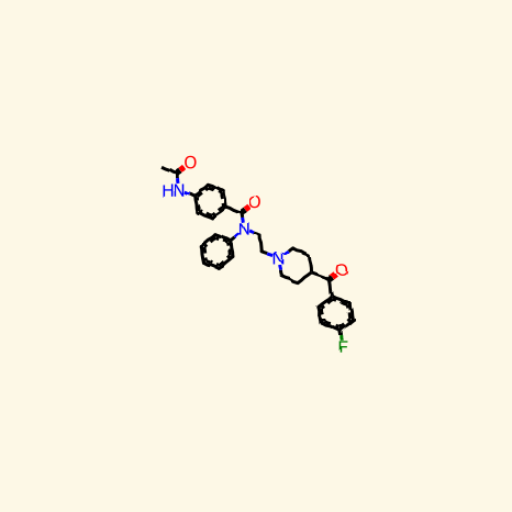 CC(=O)Nc1ccc(C(=O)N(CCN2CCC(C(=O)c3ccc(F)cc3)CC2)c2ccccc2)cc1